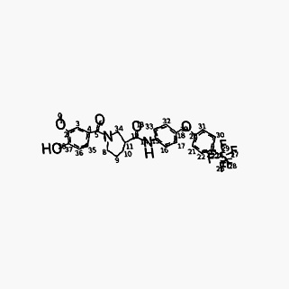 COc1cc(C(=O)N2CCCC(C(=O)Nc3ccc(Oc4ccc(S(F)(F)(F)(F)F)cc4)cc3)C2)ccc1O